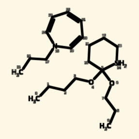 CCCCOC1(OCCC)CCCC[SiH2]1.CCCN1C=CC=CC=C1